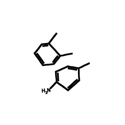 Cc1ccc(N)cc1.Cc1ccccc1C